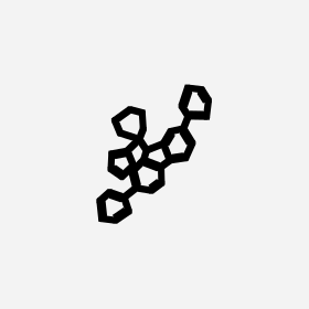 C1=CCC(C2(C3c4cc(-c5ccccc5)ccc4-c4ccc(-c5ccccc5)cc43)CCCCC2)=C1